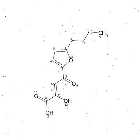 CCCCc1ccc(C(=O)/C=C(\O)C(=O)O)o1